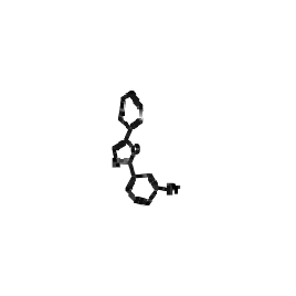 CC(C)c1cccc(-c2ncc(-c3ccccc3)o2)c1